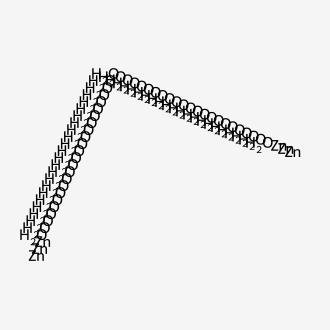 O.O.O.O.O.O.O.O.O.O.O.O.O.O.O.O.O.O.O.O.O.O.O.O.O.O.O.O.O.O.O.O.O.O.O.O.O.O.O.O.O.O.O.O.O.O.[Zn].[Zn].[Zn].[Zn].[Zn].[Zn]